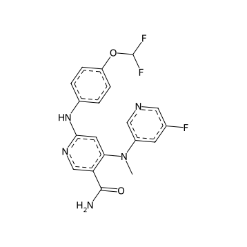 CN(c1cncc(F)c1)c1cc(Nc2ccc(OC(F)F)cc2)ncc1C(N)=O